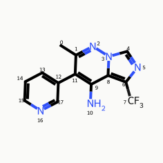 Cc1nn2cnc(C(F)(F)F)c2c(N)c1-c1cccnc1